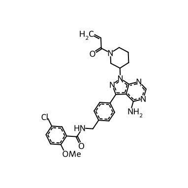 C=CC(=O)N1CCCC(n2nc(-c3ccc(CNC(=O)c4cc(Cl)ccc4OC)cc3)c3c(N)ncnc32)C1